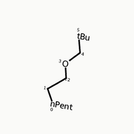 CCCCCC[CH]OCC(C)(C)C